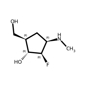 CN[C@@H]1C[C@H](CO)[C@@H](O)[C@@H]1F